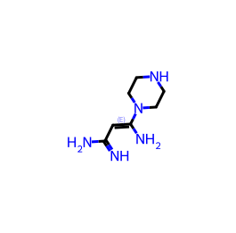 N=C(N)/C=C(\N)N1CCNCC1